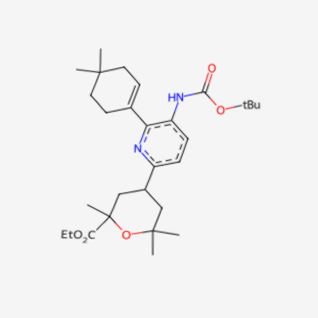 CCOC(=O)C1(C)CC(c2ccc(NC(=O)OC(C)(C)C)c(C3=CCC(C)(C)CC3)n2)CC(C)(C)O1